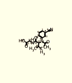 CC(=O)N(c1cccc(C#N)c1)C(C(=O)NCC(=O)O)C(C)C